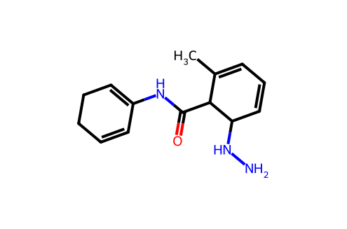 CC1=CC=CC(NN)C1C(=O)NC1=CCCC=C1